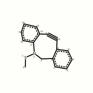 CSN1Cc2ccccc2C#Cc2ccccc21